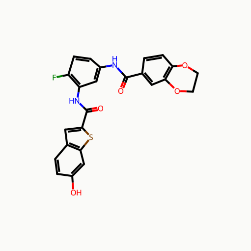 O=C(Nc1ccc(F)c(NC(=O)c2cc3ccc(O)cc3s2)c1)c1ccc2c(c1)OCCO2